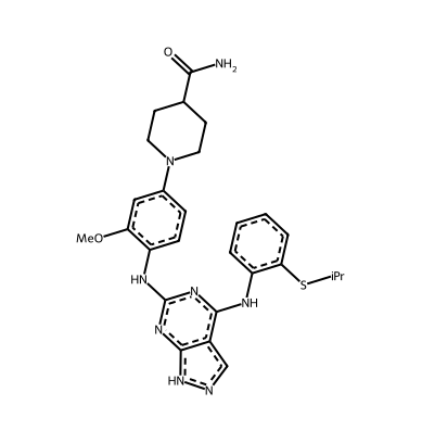 COc1cc(N2CCC(C(N)=O)CC2)ccc1Nc1nc(Nc2ccccc2SC(C)C)c2cn[nH]c2n1